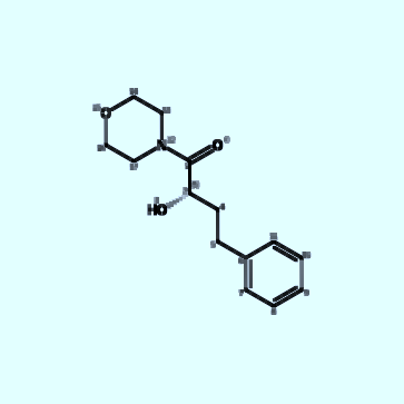 O=C([C@@H](O)CCc1ccccc1)N1CCOCC1